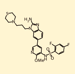 COc1ncc(-c2ccc3nc(N)n(CCCN4CCSCC4)c3c2)cc1NS(=O)(=O)c1ccc(F)cc1F